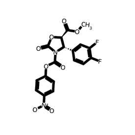 COC(=O)[C@@H]1OC(=O)N(C(=O)Oc2ccc([N+](=O)[O-])cc2)[C@H]1c1ccc(F)c(F)c1